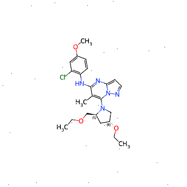 CCOC[C@@H]1C[C@@H](OCC)CN1c1c(C)c(Nc2ccc(OC)cc2Cl)nc2ccnn12